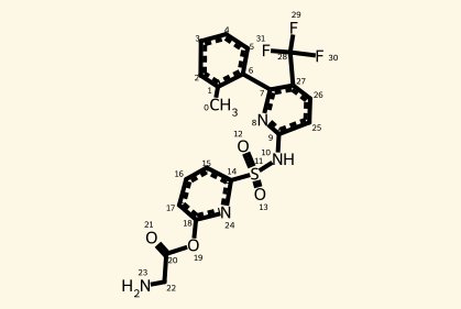 Cc1ccccc1-c1nc(NS(=O)(=O)c2cccc(OC(=O)CN)n2)ccc1C(F)(F)F